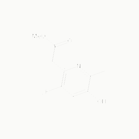 COC(=O)Cc1nc(C)c(O)cc1F